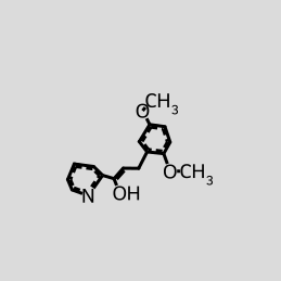 COc1ccc(OC)c(CC=C(O)c2ccccn2)c1